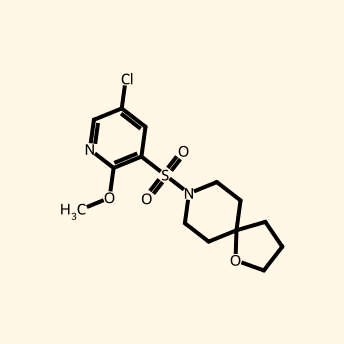 COc1ncc(Cl)cc1S(=O)(=O)N1CCC2(CCCO2)CC1